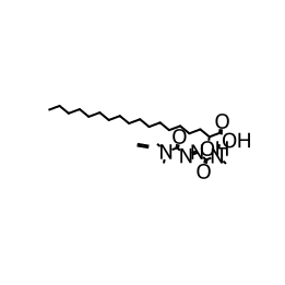 C=C.CCCCCCCCCCCCCCCCC(O)C(=O)O.CN(C)C(=O)N=NC(=O)N(C)C